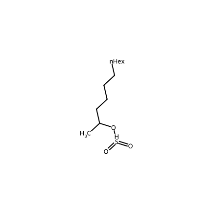 CCCCCCCCCCC(C)O[SH](=O)=O